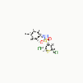 Cc1ccc(NS(=O)(=O)c2cc(Cl)sc2Cl)cc1